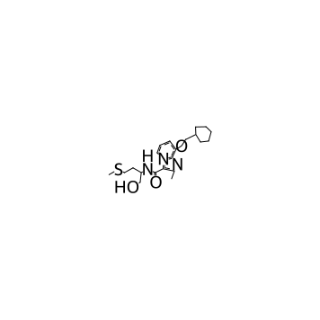 CSCCC(CO)NC(=O)c1c(C)nc2c(OCC3CCCCC3)cccn12